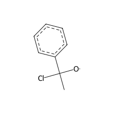 CC([O])(Cl)c1ccccc1